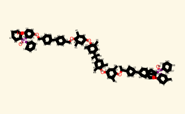 Cc1ccc(OCc2ccc(-c3ccc(C(C)Oc4c(C)cc(Oc5c(C)cc(C(C)(C)c6cc(C)c(Oc7cc(C)c(OCc8ccc(-c9ccc(COc%10ccc(O)c(P(=O)(c%11ccccc%11)c%11ccccc%11)c%10)cc9)cc8)c(C)c7)c(C)c6)cc5C)cc4C)cc3)cc2)c(P(=O)(c2ccccc2)c2ccccc2)c1